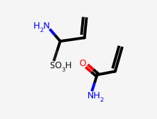 C=CC(N)=O.C=CC(N)S(=O)(=O)O